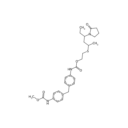 CCC(CC(C)SCCOC(=O)Nc1ccc(Cc2ccc(NC(=O)OC)cc2)cc1)N1CCCC1=O